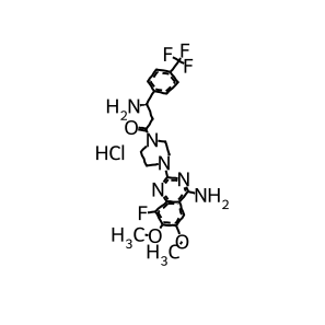 COc1cc2c(N)nc(N3CCN(C(=O)C[C@@H](N)c4ccc(C(F)(F)F)cc4)CC3)nc2c(F)c1OC.Cl